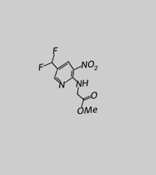 COC(=O)CNc1ncc(C(F)F)cc1[N+](=O)[O-]